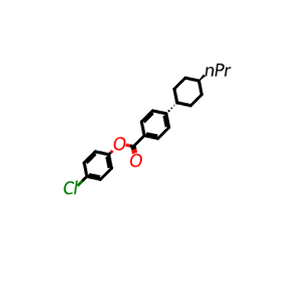 CCC[C@H]1CC[C@H](c2ccc(C(=O)Oc3ccc(Cl)cc3)cc2)CC1